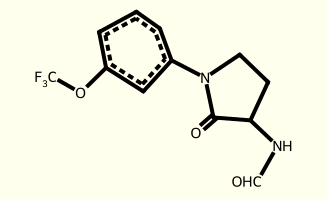 O=CNC1CCN(c2cccc(OC(F)(F)F)c2)C1=O